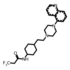 O=C(CC(F)(F)F)NC1CCC(CCN2CCN(c3cccc4ncccc34)CC2)CC1